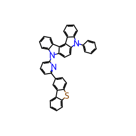 c1ccc(-n2c3ccccc3c3c4c5ccccc5n(-c5cccc(-c6ccc7sc8ccccc8c7c6)n5)c4ccc32)cc1